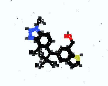 Cc1c([C@@H](c2cc(CO)c3sccc3c2)C(C)(C)C)ccc2c1nnn2C